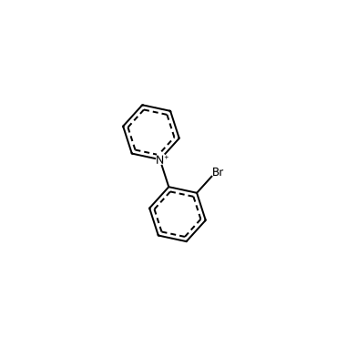 Brc1ccccc1-[n+]1ccccc1